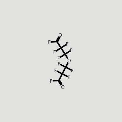 O=C(F)C(F)(F)C(F)(F)OC(F)(F)C(F)(F)C(=O)F